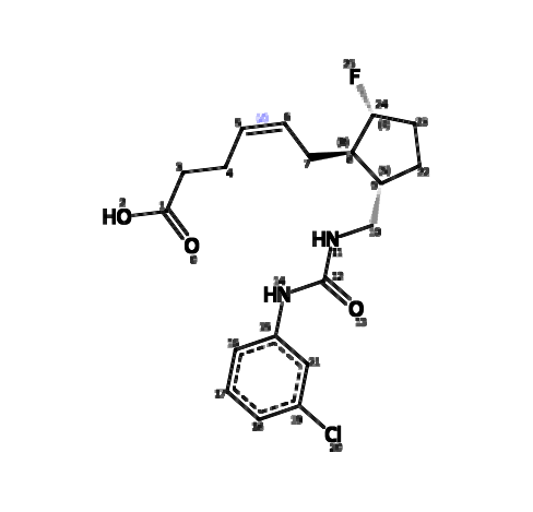 O=C(O)CC/C=C\C[C@@H]1[C@@H](CNC(=O)Nc2cccc(Cl)c2)CC[C@H]1F